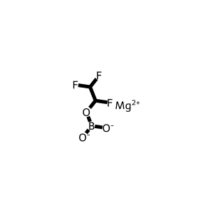 [Mg+2].[O-]B([O-])OC(F)C(F)F